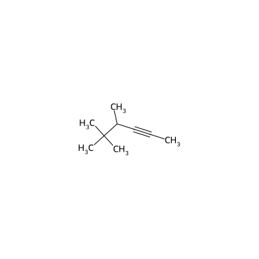 CC#CC(C)C(C)(C)C